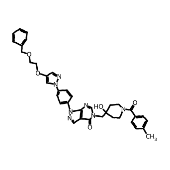 Cc1ccc(C(=O)N2CCC(O)(Cn3cnc4c(cnn4-c4ccc(-n5cc(OCCOCc6ccccc6)cn5)cc4)c3=O)CC2)cc1